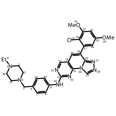 CCN1CCN(Cc2ccc(Nc3ncc4cc(-c5cc(OC)cc(OC)c5Cl)c5nncn5c4n3)cc2)CC1